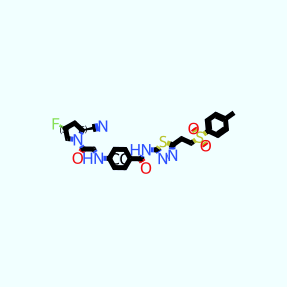 Cc1ccc(S(=O)(=O)CCc2nnc(NC(=O)C34CCC(NCC(=O)N5C[C@@H](F)C[C@H]5C#N)(CC3)CC4)s2)cc1